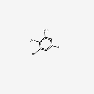 CC(=O)c1c(N)cc(F)cc1Br